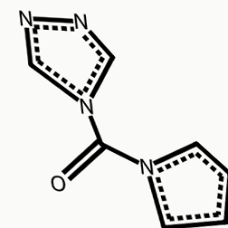 O=C(n1cccc1)n1cnnc1